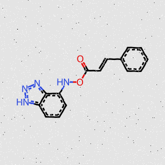 O=C(C=Cc1ccccc1)ONc1cccc2[nH]nnc12